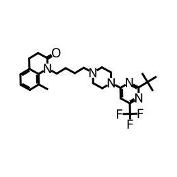 Cc1cccc2c1N(CCCCN1CCN(c3cc(C(F)(F)F)nc(C(C)(C)C)n3)CC1)C(=O)CC2